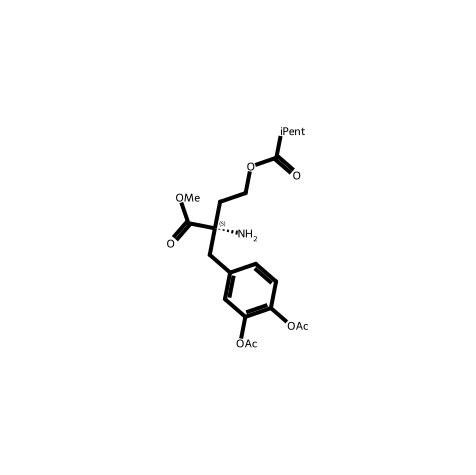 CCCC(C)C(=O)OCC[C@@](N)(Cc1ccc(OC(C)=O)c(OC(C)=O)c1)C(=O)OC